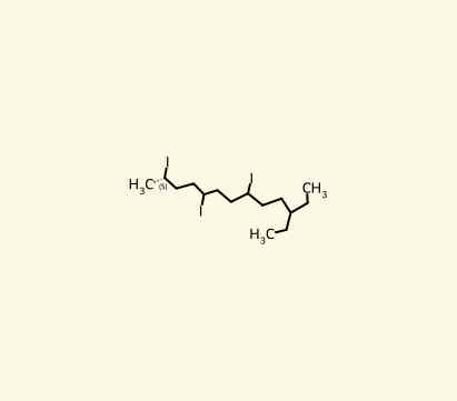 CCC(CC)CCC(I)CCC(I)CC[C@H](C)I